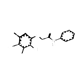 Cc1cc(OCC(=O)Nc2ccccc2)c(Cl)c(C)c1Cl